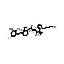 C=C1/C(=C\C=C2/CCC[C@]3(C)[C@@H]([C@H](C)/C=C/[C@H](O)C4(c5cccn5CCCCC)CC4)CC[C@@H]23)C[C@@H](O)C[C@@H]1O